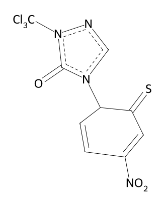 O=c1n(C2C=CC([N+](=O)[O-])=CC2=S)cnn1C(Cl)(Cl)Cl